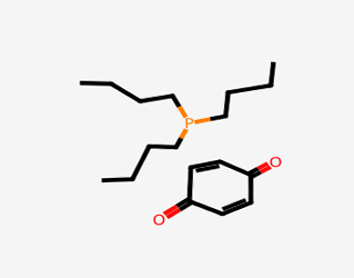 CCCCP(CCCC)CCCC.O=C1C=CC(=O)C=C1